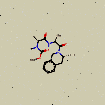 C[C@@H](C(=O)N[C@H](C(=O)N1Cc2ccccc2C[C@H]1C=O)C(C)(C)C)N(C)C(=O)OC(C)(C)C